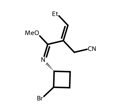 CC/C=C(CC#N)\C(=N/[C@@H]1CCC1Br)OC